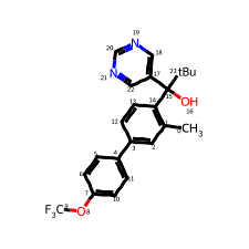 Cc1cc(-c2ccc(OC(F)(F)F)cc2)ccc1C(O)(c1cncnc1)C(C)(C)C